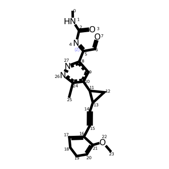 CNC(=O)/N=C(\C=O)c1cc(C2CC2C#CC2=CCCC=C2OC)c(C)nn1